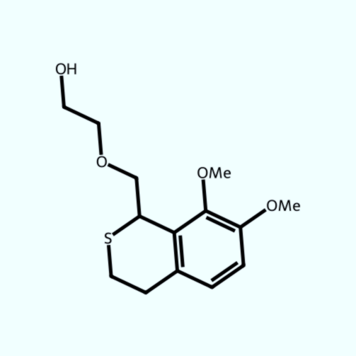 COc1ccc2c(c1OC)C(COCCO)SCC2